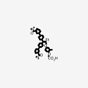 CCC(COc1ccc(OCC(=O)O)c(C)c1)=C(c1ccc(-c2cccc(C(=O)N(C)C)c2)cc1)c1ccc(-c2cccc(C(=O)N(C)C)c2)cc1